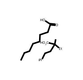 CCC(C)(CCC(C)C)C(=O)O.CCCCCCCC(=O)O